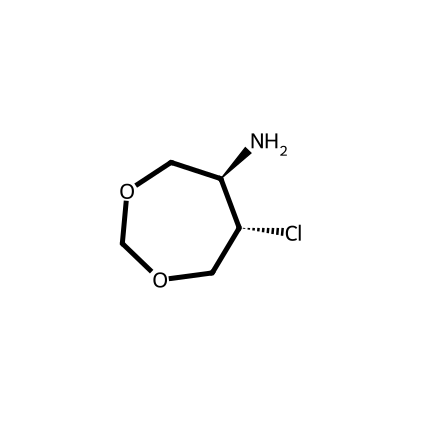 N[C@@H]1COCOC[C@H]1Cl